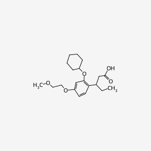 CCC(CC(=O)O)c1ccc(OCCOC)cc1OC1CCCCC1